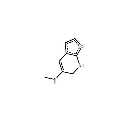 CNC1=Cc2ccoc2NC1